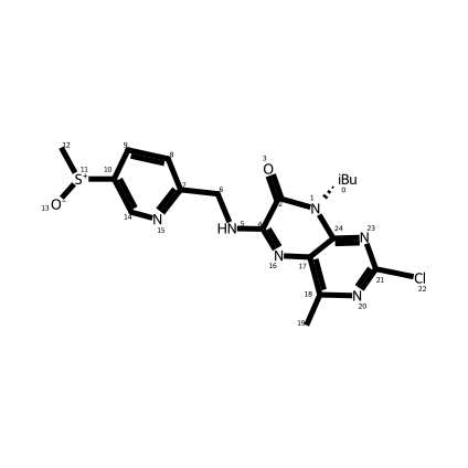 CC[C@@H](C)n1c(=O)c(NCc2ccc([S+](C)[O-])cn2)nc2c(C)nc(Cl)nc21